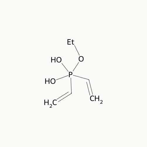 C=CP(O)(O)(C=C)OCC